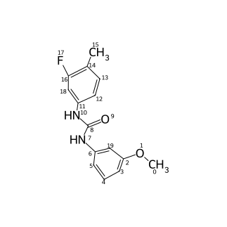 COc1cccc(NC(=O)Nc2ccc(C)c(F)c2)c1